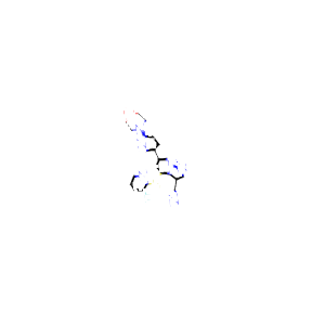 N#Cc1cnn2cc(-c3ccc(N4CCOCC4)nc3)cc(Sc3ncccc3F)c12